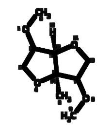 COC1CO[C@]2(C)C(OC)CO[C@H]12